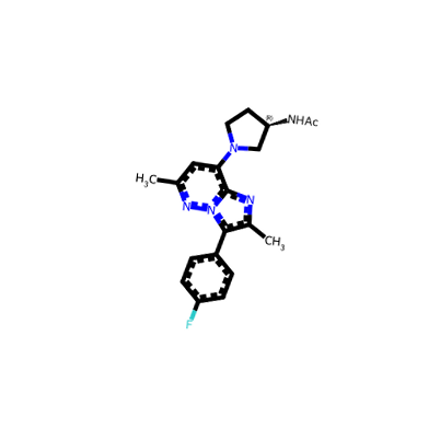 CC(=O)N[C@@H]1CCN(c2cc(C)nn3c(-c4ccc(F)cc4)c(C)nc23)C1